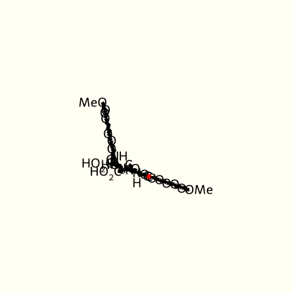 COCCOCCOCCOCCOCCOCCOCCNC(=O)CN(CCN(CCN(CC(=O)O)CC(=O)NCCOCCOCCOCCCCCOCOOCCOC)CC(=O)O)CC(=O)O